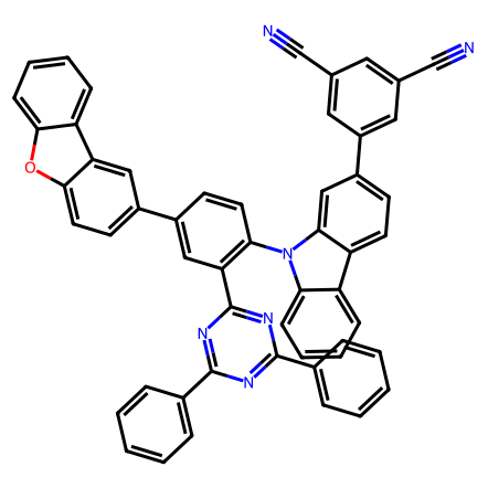 N#Cc1cc(C#N)cc(-c2ccc3c4ccccc4n(-c4ccc(-c5ccc6oc7ccccc7c6c5)cc4-c4nc(-c5ccccc5)nc(-c5ccccc5)n4)c3c2)c1